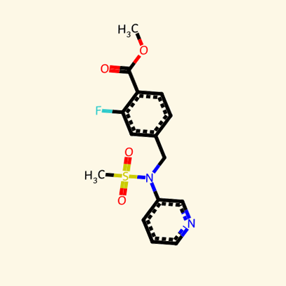 COC(=O)c1ccc(CN(c2cccnc2)S(C)(=O)=O)cc1F